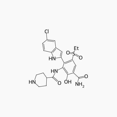 CCS(=O)(=O)c1cc(C(N)=O)c(O)c(NC(=O)C2CCNCC2)c1-c1cc2cc(Cl)ccc2[nH]1